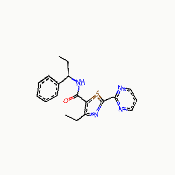 CCc1nc(-c2ncccn2)sc1C(=O)N[C@H](CC)c1ccccc1